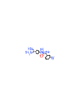 CNC(C(=O)Nc1ccc(/C(C=N)=C/N)cc1)c1cccc(N(C)C)c1